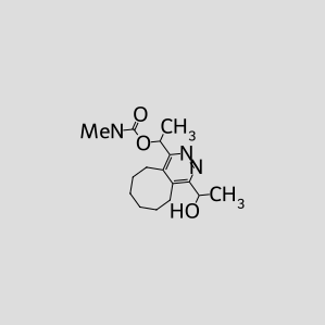 CNC(=O)OC(C)c1nnc(C(C)O)c2c1CCCCCC2